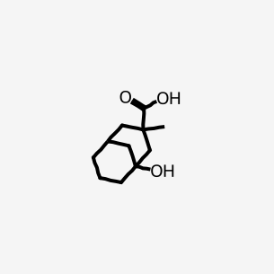 CC1(C(=O)O)CC2CCCC(O)(C2)C1